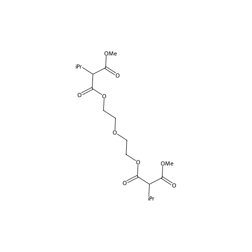 COC(=O)C(C(=O)OCCOCCOC(=O)C(C(=O)OC)C(C)C)C(C)C